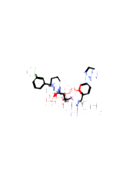 C[C@@H](NC(=O)[C@](C)(O)[C@@H](O)C(=O)N1CCCC1(C)c1cccc(Cl)c1)c1ccc(-n2cccn2)cc1